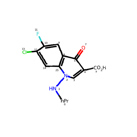 CCCNn1cc(C(=O)O)c(=O)c2cc(F)c(Cl)cc21